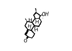 C[C@@H]1CC2=CC(=O)CC[C@@H]2[C@H]2CC[C@]3(C)[C@H](O)[C@H](C)C[C@@H]3[C@@H]21